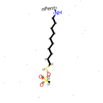 CCCCCNCCCCCCCCCCSOS(C)(=O)=O